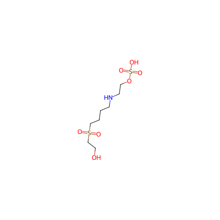 O=S(=O)(CCO)CCCCNCCOS(=O)(=O)O